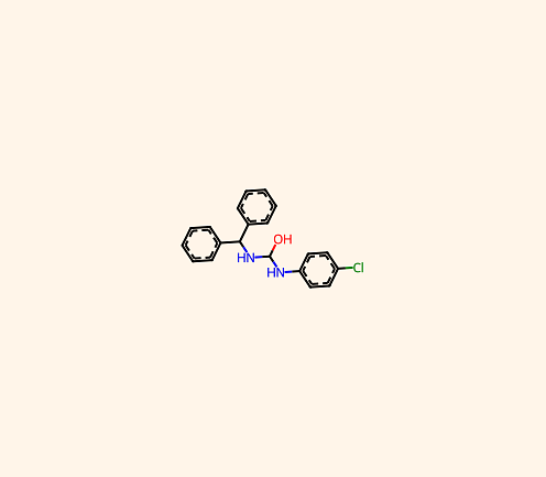 OC(Nc1ccc(Cl)cc1)NC(c1ccccc1)c1ccccc1